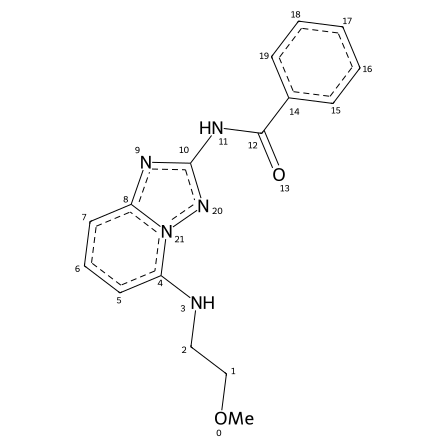 COCCNc1cccc2nc(NC(=O)c3ccccc3)nn12